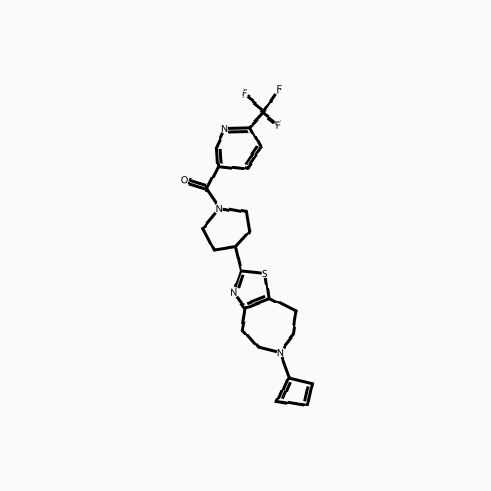 O=C(c1ccc(C(F)(F)F)nc1)N1CCC(c2nc3c(s2)CCN(C2=CC=C2)CC3)CC1